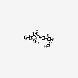 Cn1c(=O)n(CCN2CCN(c3cc(OC4CNC4)c(F)cc3F)CC2)c2nc(N)n3nc(-c4ccco4)nc3c21